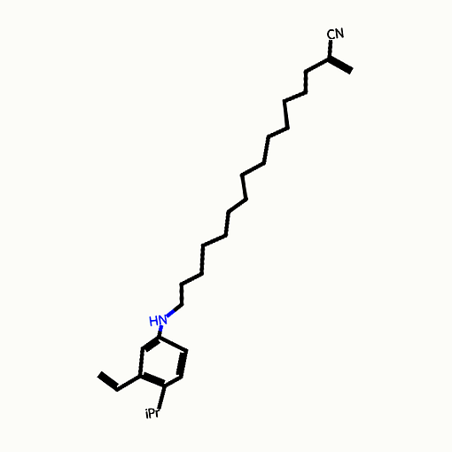 C=Cc1cc(NCCCCCCCCCCCCCCC(=C)C#N)ccc1C(C)C